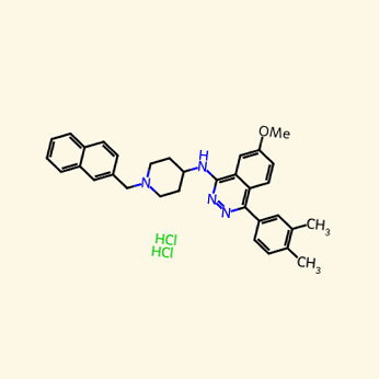 COc1ccc2c(-c3ccc(C)c(C)c3)nnc(NC3CCN(Cc4ccc5ccccc5c4)CC3)c2c1.Cl.Cl